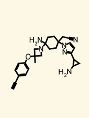 C#Cc1ccc(OC2(C)CN(C3(N)CCC(CC#N)(n4ccc(C5CC5N)n4)CC3)C2)cc1